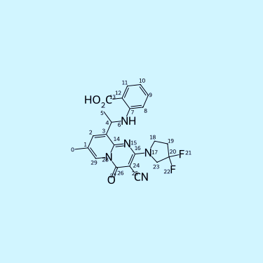 Cc1cc(C(C)Nc2ccccc2C(=O)O)c2nc(N3CCC(F)(F)C3)c(C#N)c(=O)n2c1